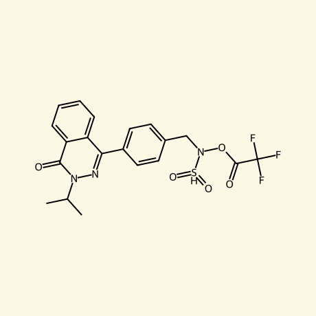 CC(C)n1nc(-c2ccc(CN(OC(=O)C(F)(F)F)[SH](=O)=O)cc2)c2ccccc2c1=O